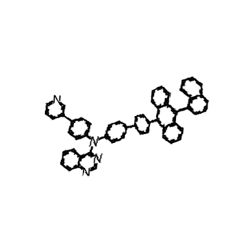 c1cncc(-c2ccc(N(c3ccc(-c4ccc(-c5c6ccccc6c(-c6cccc7ccccc67)c6ccccc56)cc4)cc3)c3ncnc4ccccc34)cc2)c1